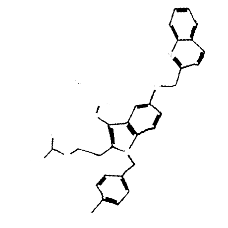 CC(OCCc1c(SC(C)(C)C)c2cc(OCc3ccc4ccccc4n3)ccc2n1Cc1ccc(Cl)cc1)C(=O)O.[Na]